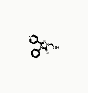 OCn1nc(-c2ccncc2)n(-c2ccccc2)c1=S